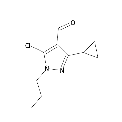 CCCn1nc(C2CC2)c(C=O)c1Cl